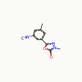 [C-]#[N+]c1cc(C)cc(-c2nn(C)c(=O)o2)c1